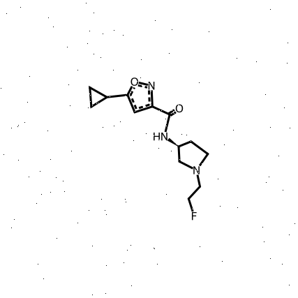 O=C(N[C@H]1CCN(CCF)C1)c1cc(C2CC2)on1